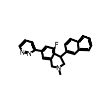 CN1Cc2cc(-c3cccnn3)cc(F)c2C(c2ccc3ccccc3c2)C1